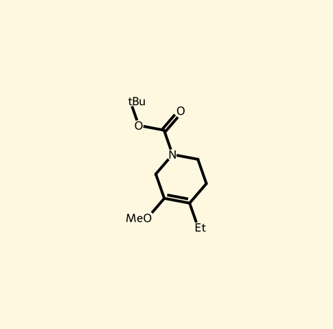 CCC1=C(OC)CN(C(=O)OC(C)(C)C)CC1